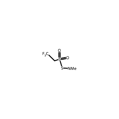 CNSS(=O)(=O)CC(F)(F)F